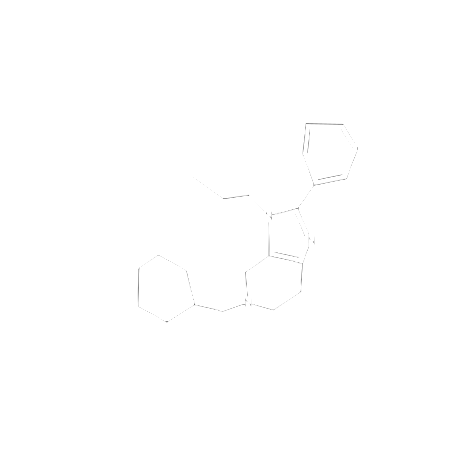 CCCn1c(-c2ccccc2)nc2c1CN(CC1CCCCC1)CC2